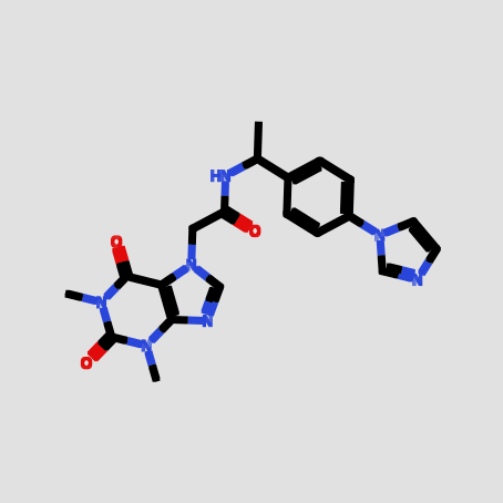 CC(NC(=O)Cn1cnc2c1c(=O)n(C)c(=O)n2C)c1ccc(-n2ccnc2)cc1